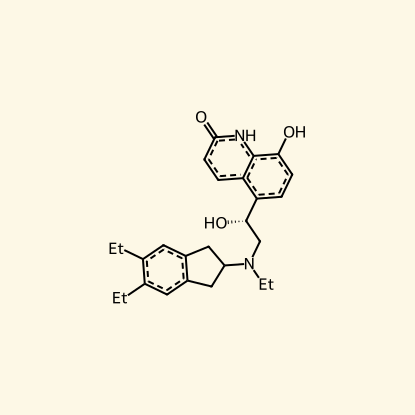 CCc1cc2c(cc1CC)CC(N(CC)C[C@H](O)c1ccc(O)c3[nH]c(=O)ccc13)C2